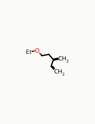 C=CC(=C)CCOCC